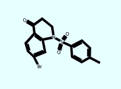 Cc1ccc(S(=O)(=O)N2CCC(=O)c3ccc(Br)cc32)cc1